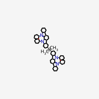 C[Si](C)(c1ccc2c(c1)c1ccc3c4ccccc4n(-c4ccccc4)c3c1n2-c1ccccc1)c1ccc2c(c1)c1ccc3c4ccccc4n(-c4ccccc4)c3c1n2-c1ccccc1